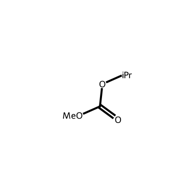 COC(=O)OC(C)C